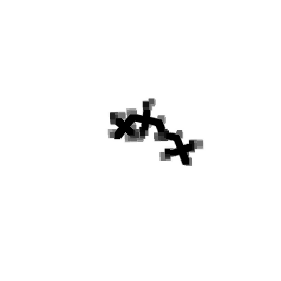 CC(F)(F)COCC(F)(F)CC(C)(F)F